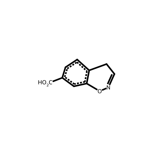 O=C(O)c1ccc2c(c1)ON=CC2